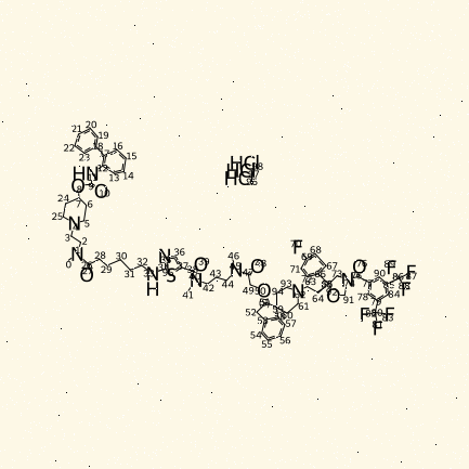 CN(CCN1CCC(OC(=O)Nc2ccccc2-c2ccccc2)CC1)C(=O)CCCCCNc1ncc(C(=O)N(C)CCCN(C)C(=O)CO[C@H]2Cc3ccccc3C23CCN(CC[C@@]2(c4ccc(F)cc4)CN(C(=O)c4cc(C(F)(F)F)cc(C(F)(F)F)c4)CO2)CC3)s1.Cl.Cl.Cl